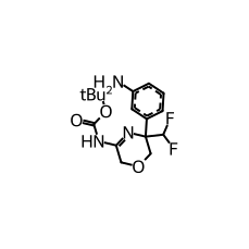 CC(C)(C)OC(=O)NC1=NC(c2cccc(N)c2)(C(F)F)COC1